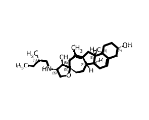 CC[C@H](C)CN[C@@H]1CO[C@]2(CC[C@@H]3C(=C(C)C2)C[C@H]2[C@H]3CC=C3C[C@@H](O)CC[C@@]32C)[C@@H]1C